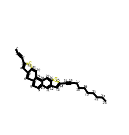 CC#Cc1cc2cc3ccc4cc5cc(C#CCCCCCCCC)sc5cc4c3cc2s1